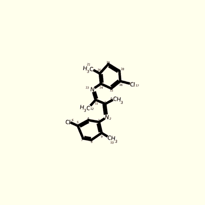 CC(=N/c1cc(Cl)ccc1C)/C(C)=N\c1cc(Cl)ccc1C